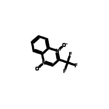 [O-][n+]1cc(C(F)(F)F)[n+]([O-])c2ccccc21